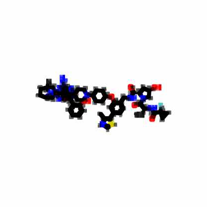 Cc1ncsc1-c1ccc(CNC(=O)[C@@H]2C[C@@H](O)CN2C(=O)[C@@H](NC(=O)C2(F)CC2)C(C)(C)C)c(OC2CCC(N3CCC(c4cnc(N5C6CC[C@@H]5CN(c5cc(-c7ccccc7O)nnc5N)C6)nc4)CC3)CC2)c1